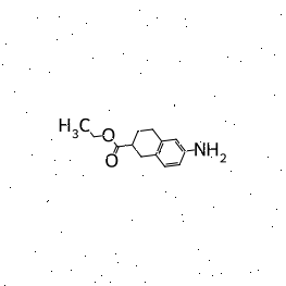 CCOC(=O)C1CCc2cc(N)ccc2C1